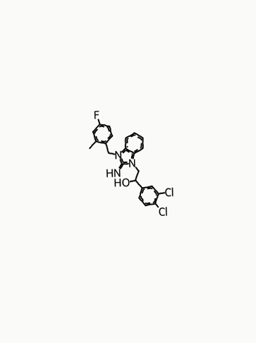 Cc1cc(F)ccc1Cn1c(=N)n(CC(O)c2ccc(Cl)c(Cl)c2)c2ccccc21